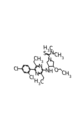 CCOC1CN(C(=S)N(C)C)CC1Nc1nc(CC)c(-c2ccc(Cl)cc2Cl)nc1CC